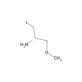 COC[C@H](N)CI